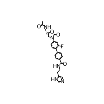 CC(=O)NC[C@H]1CN(c2ccc(-c3ccc(C(=O)NCCc4cnc[nH]4)cc3)c(F)c2)C(=O)O1